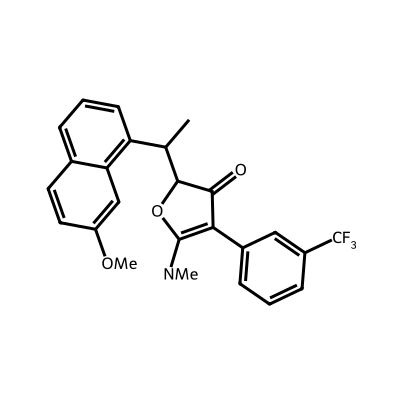 CNC1=C(c2cccc(C(F)(F)F)c2)C(=O)C(C(C)c2cccc3ccc(OC)cc23)O1